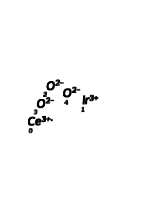 [Ce+3].[Ir+3].[O-2].[O-2].[O-2]